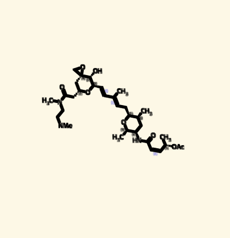 CNCCN(C)C(=O)C[C@@H]1C[C@@]2(CO2)[C@H](O)[C@@H](/C=C/C(C)=C/C[C@@H]2O[C@H](C)[C@H](NC(=O)/C=C\[C@H](C)OC(C)=O)C[C@@H]2C)O1